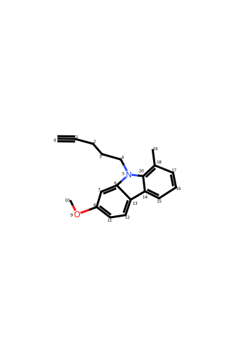 C#CCCCn1c2cc(OC)ccc2c2cccc(C)c21